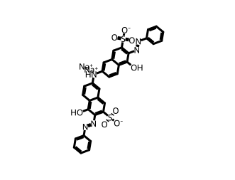 O=S(=O)([O-])c1cc2cc(Nc3ccc4c(O)c(N=Nc5ccccc5)c(S(=O)(=O)[O-])cc4c3)ccc2c(O)c1N=Nc1ccccc1.[Na+].[Na+]